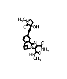 CNC(=O)c1c(C(N)=O)nc2n1C1C=C(C1)c1ccc(C#C[C@]3(O)CCN(C)C3=O)cc1-2